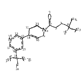 O=C(CCC(F)(F)F)N1CC=C(c2cncc(C(F)(F)F)c2)CC1